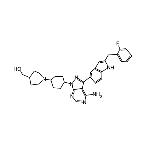 Nc1ncnc2c1c(-c1ccc3[nH]c(Cc4ccccc4F)cc3c1)nn2C1CCC(N2CCC(CO)CC2)CC1